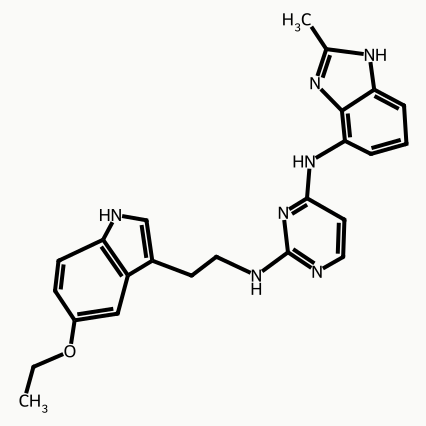 CCOc1ccc2[nH]cc(CCNc3nccc(Nc4cccc5[nH]c(C)nc45)n3)c2c1